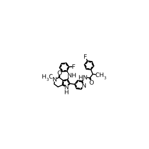 CC(C(=O)Nc1cc(-c2[nH]c3c(c2Nc2ccccc2F)C(=O)N(C)CC3)ccn1)c1ccc(F)cc1